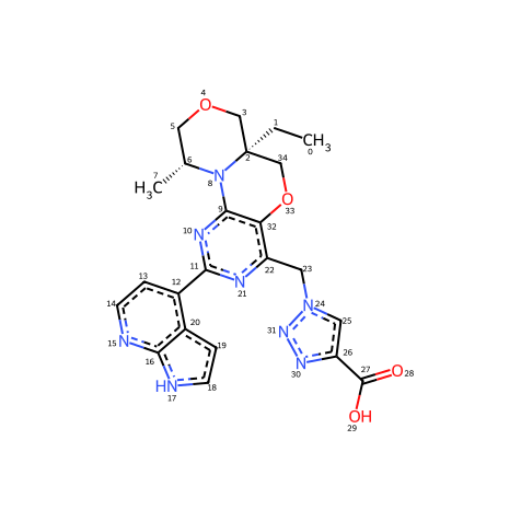 CC[C@@]12COC[C@@H](C)N1c1nc(-c3ccnc4[nH]ccc34)nc(Cn3cc(C(=O)O)nn3)c1OC2